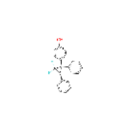 Oc1ccc([C@@]2(c3ccccc3)[C@@H](c3ccccc3)C2(F)F)cc1